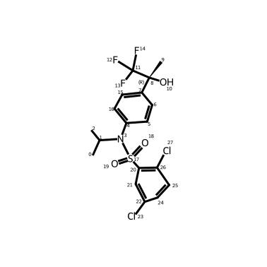 CC(C)N(c1ccc([C@@](C)(O)C(F)(F)F)cc1)S(=O)(=O)c1cc(Cl)ccc1Cl